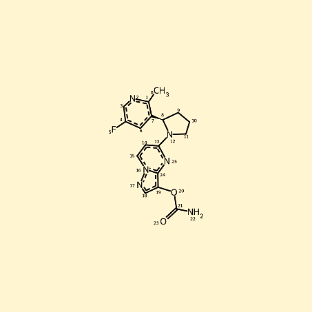 Cc1ncc(F)cc1[C@H]1CCCN1c1ccn2ncc(OC(N)=O)c2n1